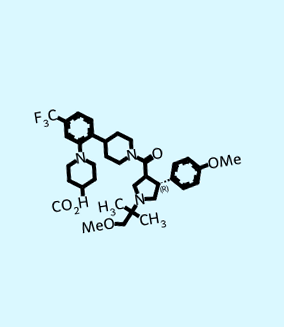 COCC(C)(C)N1CC(C(=O)N2CCC(c3ccc(C(F)(F)F)cc3N3CCC(C(=O)O)CC3)CC2)[C@H](c2ccc(OC)cc2)C1